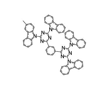 Cc1ccc2c(c1)c1ccccc1n2-c1nc(-c2cccc(-c3nc(-n4c5ccccc5c5ccccc54)nc(-n4c5ccccc5c5ccccc54)n3)c2)nc(-n2c3ccccc3c3ccccc32)n1